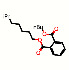 CCCCOC(=O)c1ccccc1C(=O)OCCCCCC(C)C